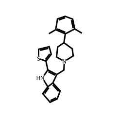 Cc1cccc(C)c1C1CCN(Cc2c(-c3cccs3)[nH]c3ccccc23)CC1